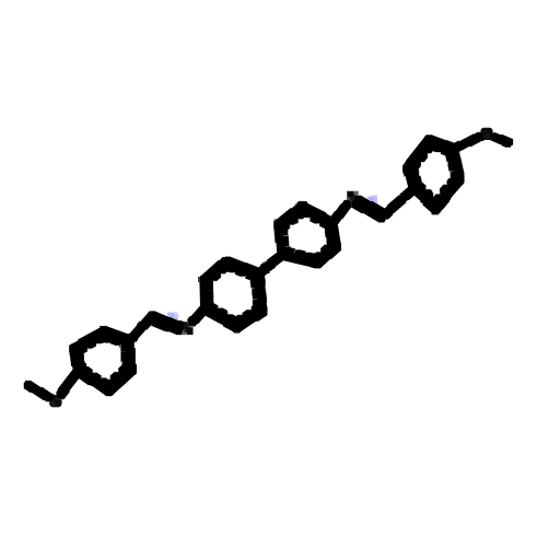 COc1ccc(/C=N/c2ccc(-c3ccc(/N=C/c4ccc(OC)cc4)cc3)cc2)cc1